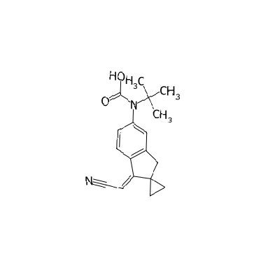 CC(C)(C)N(C(=O)O)c1ccc2c(c1)CC1(CC1)C2=CC#N